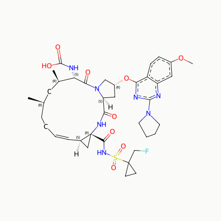 COc1ccc2c(O[C@@H]3C[C@H]4C(=O)N[C@]5(C(=O)NS(=O)(=O)C6(CF)CC6)C[C@H]5C=CCC[C@@H](C)C[C@@H](C)[C@H](NC(=O)O)C(=O)N4C3)nc(N3CCCC3)nc2c1